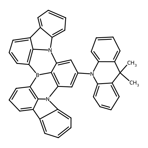 CC1(C)c2ccccc2N(c2cc3c4c(c2)-n2c5ccccc5c5cccc(c52)B4c2cccc4c5ccccc5n-3c24)c2ccccc21